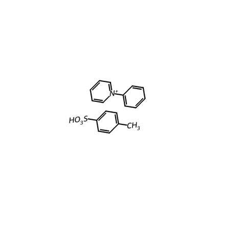 Cc1ccc(S(=O)(=O)O)cc1.c1ccc(-[n+]2ccccc2)cc1